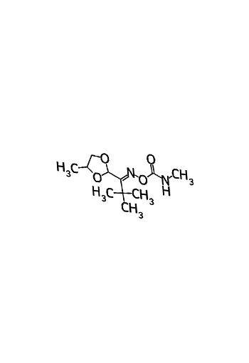 CNC(=O)ON=C(C1OCC(C)O1)C(C)(C)C